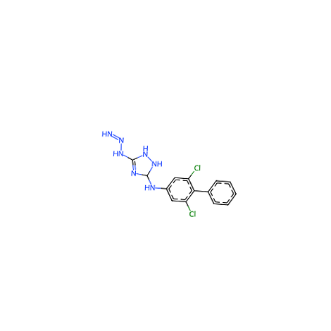 N=NNC1=NC(Nc2cc(Cl)c(-c3ccccc3)c(Cl)c2)NN1